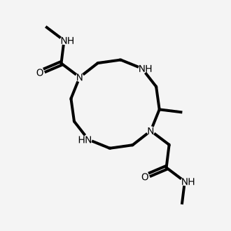 CNC(=O)CN1CCNCCN(C(=O)NC)CCNCC1C